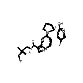 CC(C)(CBr)CNC(=O)c1cnn2ccc(N3CCC[C@@H]3c3cc(F)cnc3O)nc12